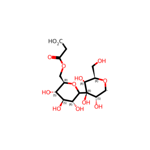 O=C(O)CC(=O)OC[C@H]1OC([C@]2(O)[C@H](O)[C@@H](CO)O[CH][C@@H]2O)[C@H](O)[C@@H](O)[C@@H]1O